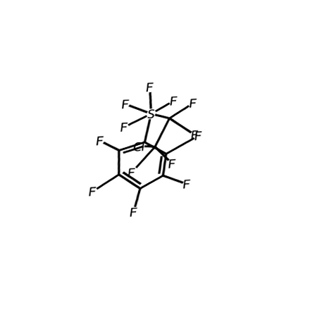 Fc1c(F)c(F)c(S(F)(F)(F)(F)C(F)(F)C(F)(F)Cl)c(F)c1F